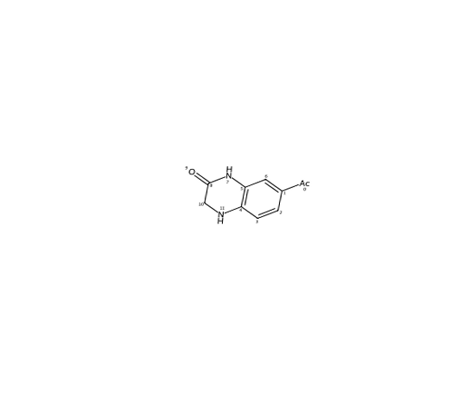 CC(=O)c1ccc2c(c1)NC(=O)CN2